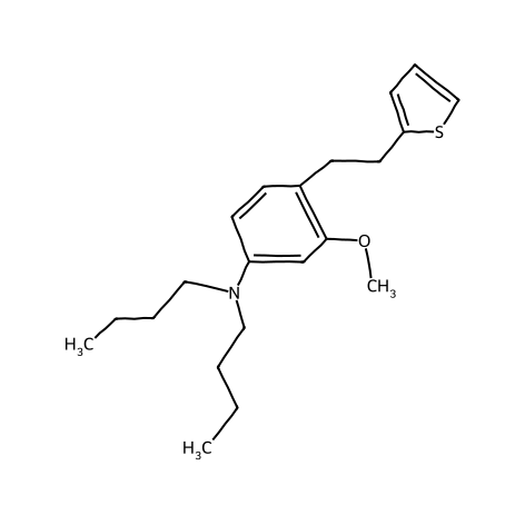 CCCCN(CCCC)c1ccc(CCc2cccs2)c(OC)c1